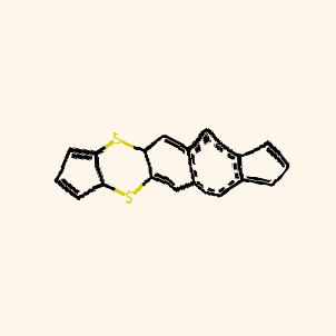 C1=Cc2cc3c(cc2=C1)C=C1SC2C=CC=C2SC1C=3